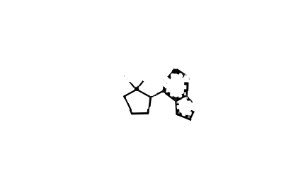 Cl.NC1(O)CCCC1c1ncnc2sccc12